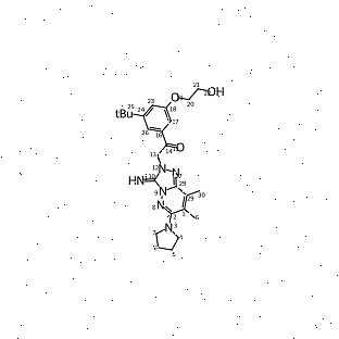 Cc1c(N2CCCC2)nn2c(=N)n(CC(=O)c3cc(OCCO)cc(C(C)(C)C)c3)nc2c1C